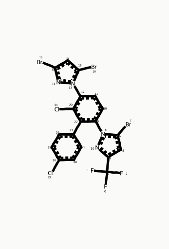 FC(F)(F)c1cc(Br)n(-c2[c]cc(-n3nc(Br)cc3Br)c(Cl)c2-c2ccc(Cl)cc2)n1